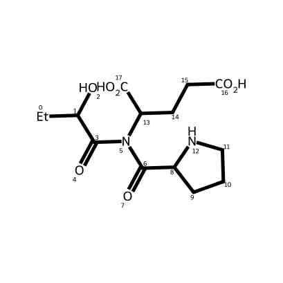 CCC(O)C(=O)N(C(=O)C1CCCN1)C(CCC(=O)O)C(=O)O